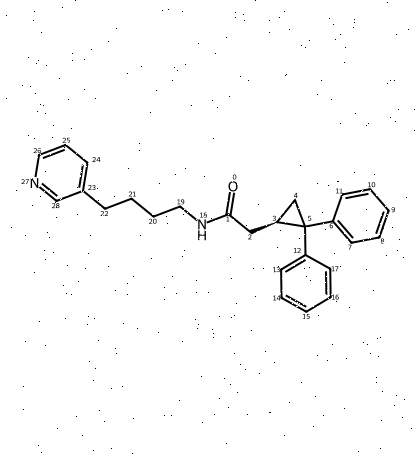 O=C(C[C@H]1CC1(c1ccccc1)c1ccccc1)NCCCCc1cccnc1